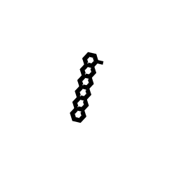 Cc1cccc2cc3cc4cc5cc6ccccc6cc5cc4cc3cc12